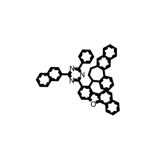 c1ccc(-c2nc(-c3ccc4ccccc4c3)nc(-c3ccc4oc5c6ccccc6ccc5c4c3C3CCc4cc5ccccc5cc4-c4ccccc43)n2)cc1